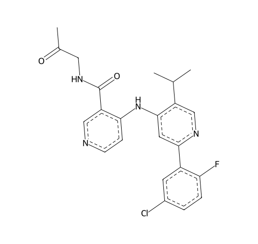 CC(=O)CNC(=O)c1cnccc1Nc1cc(-c2cc(Cl)ccc2F)ncc1C(C)C